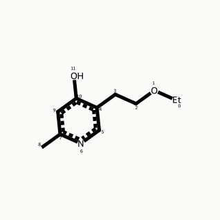 CCOCCc1cnc(C)cc1O